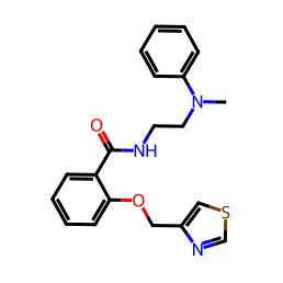 CN(CCNC(=O)c1ccccc1OCc1cscn1)c1ccccc1